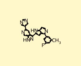 Cc1cc(F)cc(-c2nccc3[nH]c(-c4n[nH]c5cnc(-c6cncnc6)cc45)cc23)c1